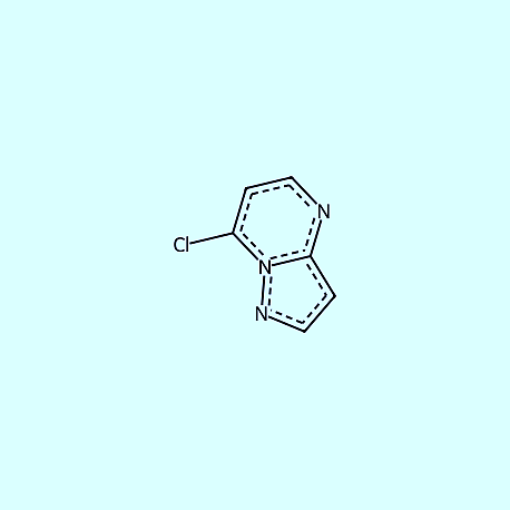 Clc1ccnc2ccnn12